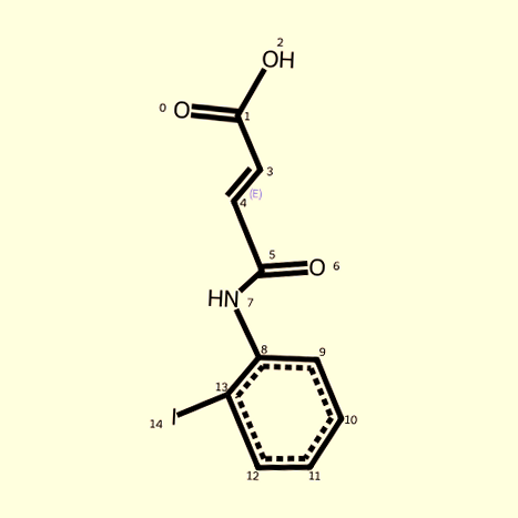 O=C(O)/C=C/C(=O)Nc1ccccc1I